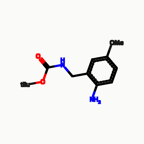 COc1ccc(N)c(CNC(=O)OC(C)(C)C)c1